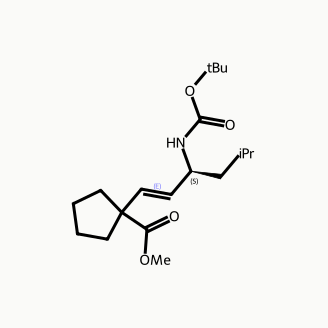 COC(=O)C1(/C=C/[C@H](CC(C)C)NC(=O)OC(C)(C)C)CCCC1